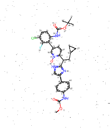 COC(=O)Nc1ccc(-c2c[nH]c(C(CC3CC3)c3ccc(-c4c(NC(=O)OC(C)(C)C)ccc(Cl)c4F)c[n+]3[O-])n2)cc1